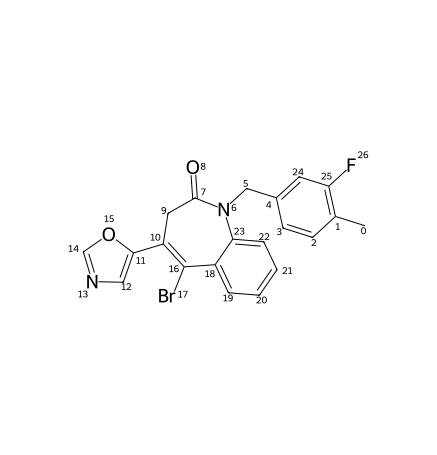 Cc1ccc(CN2C(=O)CC(c3cnco3)=C(Br)c3ccccc32)cc1F